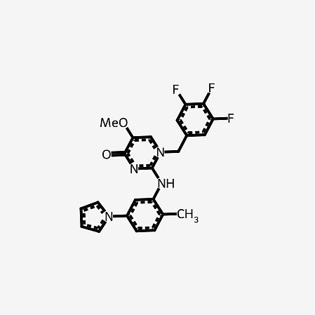 COc1cn(Cc2cc(F)c(F)c(F)c2)c(Nc2cc(-n3cccc3)ccc2C)nc1=O